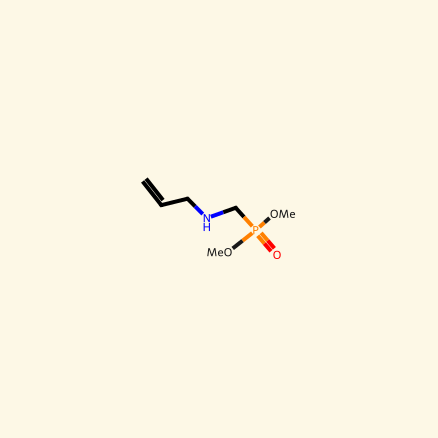 C=CCNCP(=O)(OC)OC